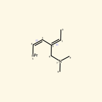 C/C=C(\C=C/CCC)CN(C)C